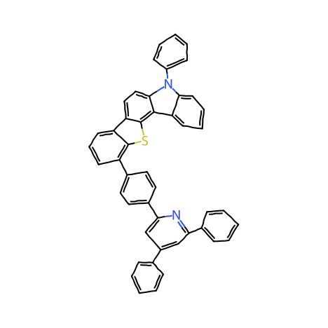 c1ccc(-c2cc(-c3ccccc3)nc(-c3ccc(-c4cccc5c4sc4c5ccc5c4c4ccccc4n5-c4ccccc4)cc3)c2)cc1